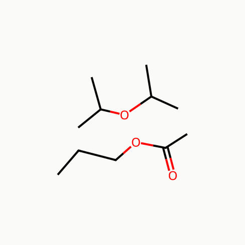 CC(C)OC(C)C.CCCOC(C)=O